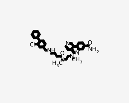 CN(CCN(C)c1nc2cc(C(N)=O)ccc2c2cnccc12)C(=O)CCCNCc1ccc(-c2ccccc2)c(Cl)c1